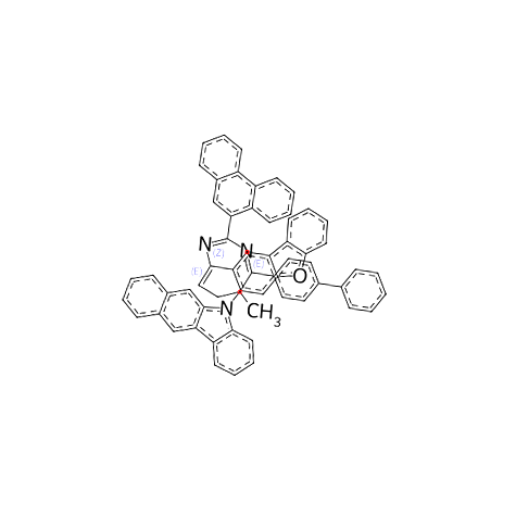 CC1C/C=C(c2cc3c(cc2-n2c4ccccc4c4cc5ccccc5cc42)oc2ccccc23)/N=C(c2cc3ccccc3c3ccccc23)\N=C/1c1ccc(-c2ccccc2)cc1